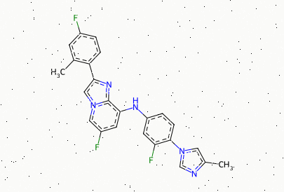 Cc1cn(-c2ccc(Nc3cc(F)cn4cc(-c5ccc(F)cc5C)nc34)cc2F)cn1